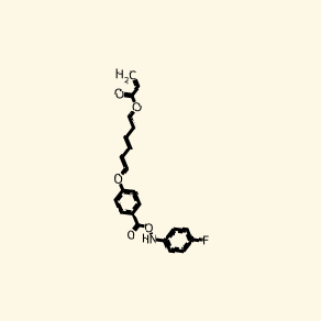 C=CC(=O)OCCCCCCOc1ccc(C(=O)ONc2ccc(F)cc2)cc1